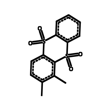 Cc1ccc2c(c1C)S(=O)(=O)c1ccccc1S2(=O)=O